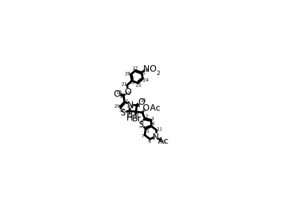 CC(=O)OC(c1cc2c(s1)CCN(C(C)=O)C2)C1(Br)C(=O)N2C(C(=O)OCc3ccc([N+](=O)[O-])cc3)=CS[C@@H]21